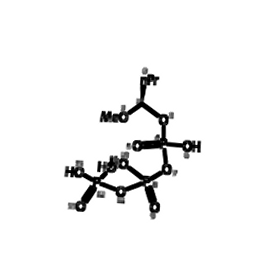 CCC[C@H](OC)OP(=O)(O)OP(=O)(O)OP(=O)(O)O